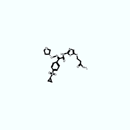 NC(=O)CCSc1cnc(NC(=O)/C(=N/O[C@@H]2CCOC2)c2ccc(S(=O)(=O)C3CC3)cc2)s1